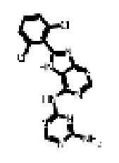 Nc1ncnc(Nc2ncnc3nc(-c4c(Cl)cccc4Cl)[nH]c23)n1